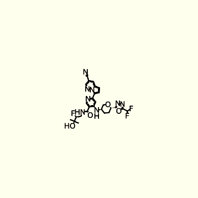 CC(C)(O)C(F)CNC(=O)c1cnc(-c2ccc3cc(C#N)cnn23)cc1N[C@@H]1CC[C@@H](c2nnc(C(F)F)o2)OC1